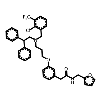 O=C(Cc1cccc(OCCCN(Cc2cccc(C(F)(F)F)c2Cl)CC(c2ccccc2)c2ccccc2)c1)NCc1ccco1